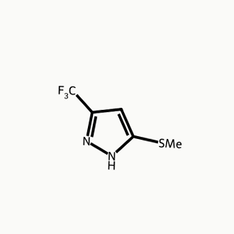 CSc1cc(C(F)(F)F)n[nH]1